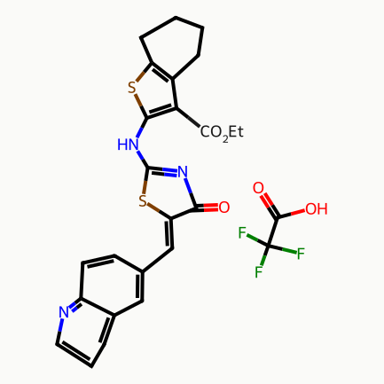 CCOC(=O)c1c(NC2=NC(=O)/C(=C/c3ccc4ncccc4c3)S2)sc2c1CCCC2.O=C(O)C(F)(F)F